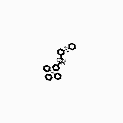 C[Si](C)(c1cccc(-c2nnc(-c3ccc([Si](c4ccccc4)(c4ccccc4)c4ccccc4)cc3)o2)c1)C1CCCCC1